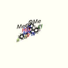 COc1ccc(-c2c(NC(=O)Nc3ccc(F)cc3F)cnc3ccc(Cl)cc23)c(O)c1OC